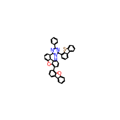 c1ccc(C2=NC(c3cccc4oc5c(-c6cccc7c6oc6ccccc67)cccc5c34)NC(c3cccc4c3sc3ccccc34)=N2)cc1